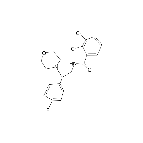 O=C(NCC(c1ccc(F)cc1)N1CCOCC1)c1cccc(Cl)c1Cl